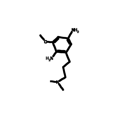 COc1cc(N)cc(CCCN(C)C)c1N